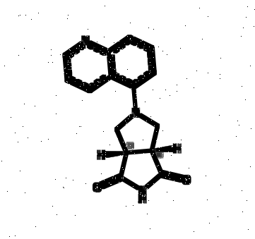 O=C1NC(=O)[C@@H]2CN(c3cccc4ncccc34)C[C@H]12